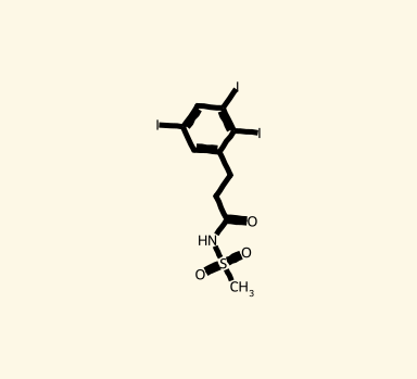 CS(=O)(=O)NC(=O)CCc1cc(I)cc(I)c1I